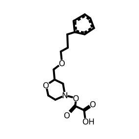 O=C(O)C(=O)ON1CCOC(COCCCc2ccccc2)C1